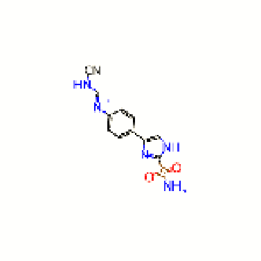 N#CN/C=N/c1ccc(-c2c[nH]c(S(N)(=O)=O)n2)cc1